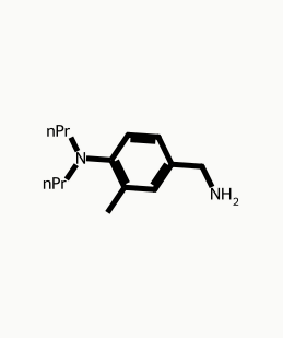 CCCN(CCC)c1ccc(CN)cc1C